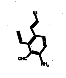 C=Cc1c(/C=C/CC)ccc(N)c1C=O